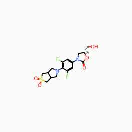 O=C1O[C@@H](CO)CN1c1cc(F)c(N2CC3CS(=O)(=O)CC3C2)c(F)c1